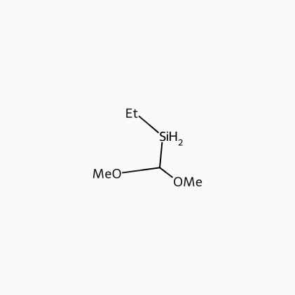 CC[SiH2]C(OC)OC